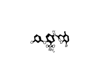 Cc1ccc(Br)c(Cl)c1CC(=O)Nc1ccc(Oc2cccc(Cl)c2)c(S(N)(=O)=O)c1